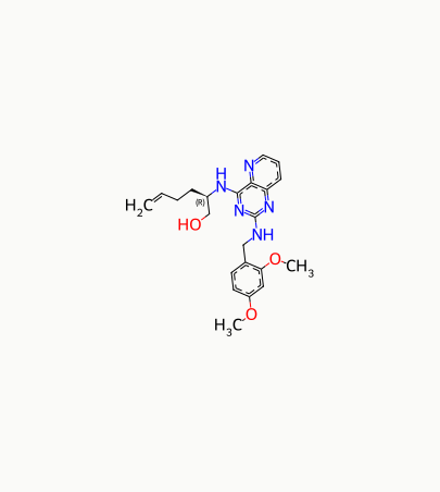 C=CCC[C@H](CO)Nc1nc(NCc2ccc(OC)cc2OC)nc2cccnc12